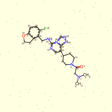 CN(C)CC(=O)N1CCC(c2cnc(NCc3c(F)ccc4c3CCO4)n3cnnc23)CC1